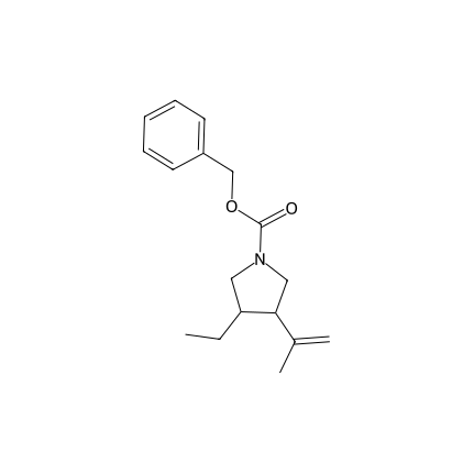 C=C(C)C1CN(C(=O)OCc2ccccc2)CC1CC